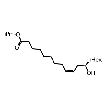 CCCCCC[C@@H](O)C/C=C\CCCCCCCC(=O)OC(C)C